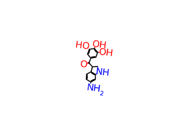 Nc1ccc2c(c1)NCC2C(=O)c1cc(O)c(O)c(O)c1